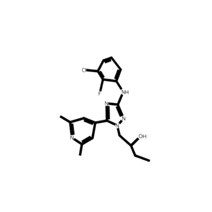 CCC(O)Cn1nc(Nc2cccc(Cl)c2F)nc1-c1cc(C)nc(C)c1